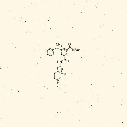 CNC(=O)c1cc(C(=O)NCC[C@@H]2CCNCC2(F)F)cc([C@@H](C)c2ccccc2)n1